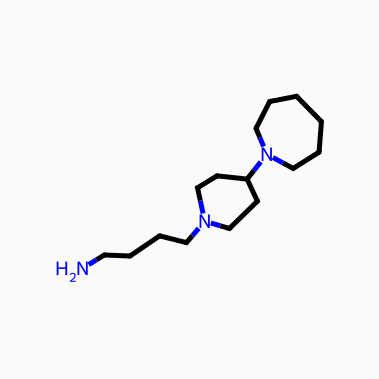 NCCCCN1CCC(N2CCCCCC2)CC1